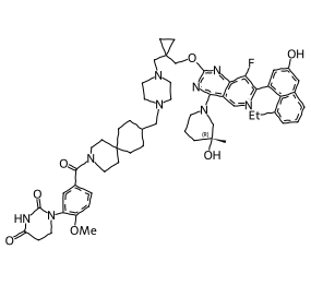 CCc1cccc2cc(O)cc(-c3ncc4c(N5CCC[C@@](C)(O)C5)nc(OCC5(CN6CCN(CC7CCC8(CC7)CCN(C(=O)c7ccc(OC)c(N9CCC(=O)NC9=O)c7)CC8)CC6)CC5)nc4c3F)c12